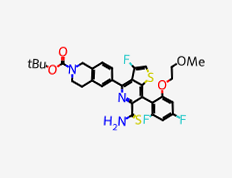 COCCOc1cc(F)cc(F)c1-c1c(C(N)=S)nc(-c2ccc3c(c2)CCN(C(=O)OC(C)(C)C)C3)c2c(F)csc12